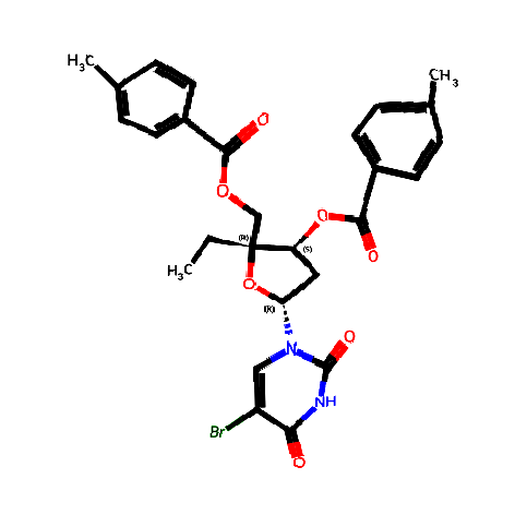 CC[C@]1(COC(=O)c2ccc(C)cc2)O[C@@H](n2cc(Br)c(=O)[nH]c2=O)C[C@@H]1OC(=O)c1ccc(C)cc1